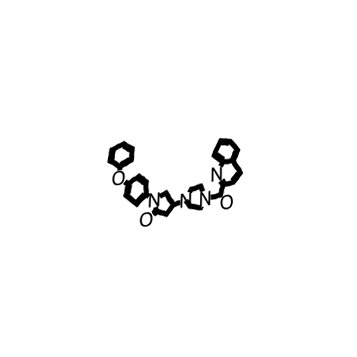 O=C(c1ccc2ccccc2n1)N1CCN(C2CC(=O)N(c3ccc(Oc4ccccc4)cc3)C2)CC1